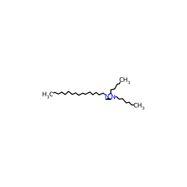 CCCCCCCCCCCCCCCCN1C=CN(CCCCCCC)C1CCCCC